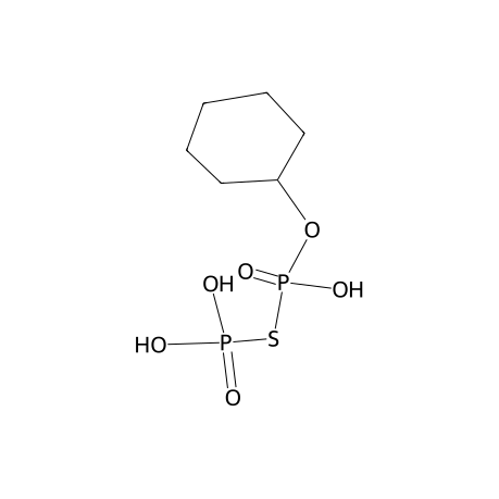 O=P(O)(O)SP(=O)(O)OC1CCCCC1